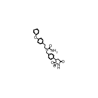 NC(=O)N(CCc1ccc(Oc2ccccc2)cc1)Cc1ccc(C2CC(=O)NS2(=O)=O)cc1